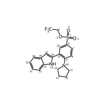 O=S(=O)(OCC(F)(F)F)c1ccc(N2CCCC2)c(-c2cc3ccccc3[nH]2)c1